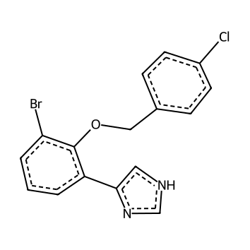 Clc1ccc(COc2c(Br)cccc2-c2c[nH]cn2)cc1